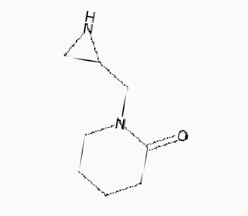 O=C1CCCCN1CC1CN1